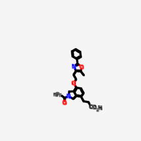 CCCC(=O)N1Cc2c(CCC(=O)O)ccc(OCCc3nc(-c4ccccc4)oc3C)c2C1